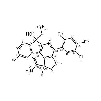 Cc1ccc(C(O)(CN)c2cc3c(c(-c4cc(Cl)c(F)cc4F)n2)OC[C@]3(C)C(N)=O)cc1